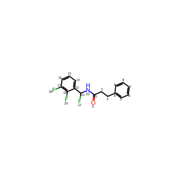 O=C(CCc1ccccc1)NC(F)c1cccc(F)c1F